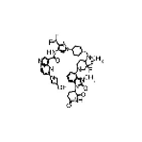 CN(C[C@H]1CC[C@H](n2cc(NC(=O)c3cnn4ccc(N5CC(O)C5)nc34)c(C(F)F)n2)CC1)C1CCN(c2cccc3c2n(C)c(=O)n3C2CCC(=O)NC2=O)CC1(F)F